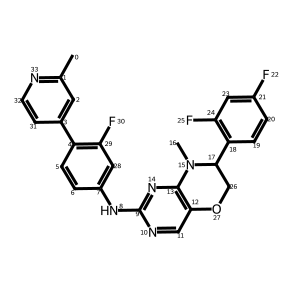 Cc1cc(-c2ccc(Nc3ncc4c(n3)N(C)C(c3ccc(F)cc3F)CO4)cc2F)ccn1